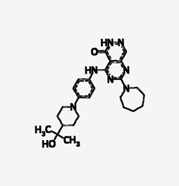 CC(C)(O)C1CCN(c2ccc(Nc3nc(N4CCCCCC4)nc4cn[nH]c(=O)c34)cc2)CC1